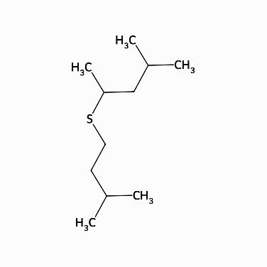 CC(C)CCSC(C)CC(C)C